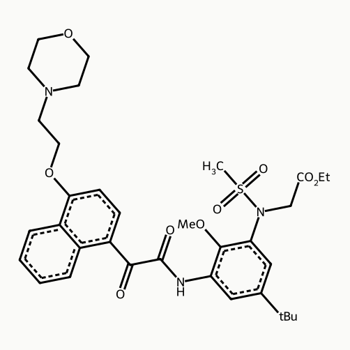 CCOC(=O)CN(c1cc(C(C)(C)C)cc(NC(=O)C(=O)c2ccc(OCCN3CCOCC3)c3ccccc23)c1OC)S(C)(=O)=O